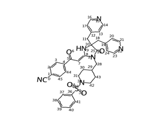 N#Cc1ccc(C(=O)C=C2NC(Cc3ccncc3)(Cc3ccncc3)C(=O)N2CC2CCN(S(=O)(=O)c3ccccc3)CC2)cc1